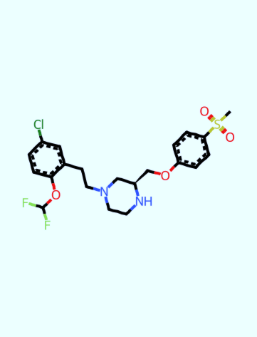 CS(=O)(=O)c1ccc(OC[C@@H]2CN(CCc3cc(Cl)ccc3OC(F)F)CCN2)cc1